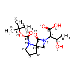 CC(O)C(C(=O)O)N1C[C@]2(CCCN2C(=O)OC(C)(C)C)C1=O